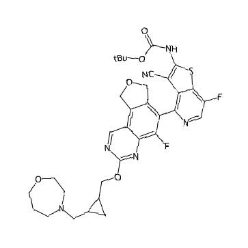 CC(C)(C)OC(=O)Nc1sc2c(F)cnc(-c3c4c(c5cnc(OCC6CC6CN6CCCOCC6)nc5c3F)COC4)c2c1C#N